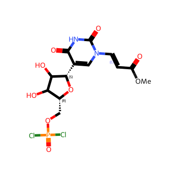 COC(=O)/C=C/n1cc([C@@H]2O[C@H](COP(=O)(Cl)Cl)C(O)C2O)c(=O)[nH]c1=O